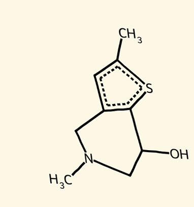 Cc1cc2c(s1)C(O)CN(C)C2